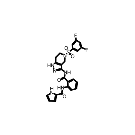 O=C(Nc1ccccc1C(=O)Nc1n[nH]c2c1CN(S(=O)(=O)c1cc(F)cc(F)c1)CC2)c1ccc[nH]1